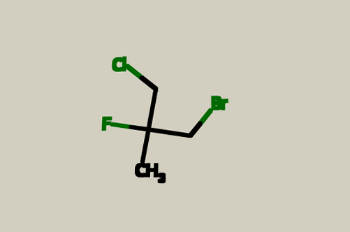 CC(F)(CCl)CBr